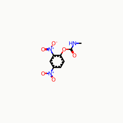 CNC(=O)Oc1ccc([N+](=O)[O-])cc1[N+](=O)[O-]